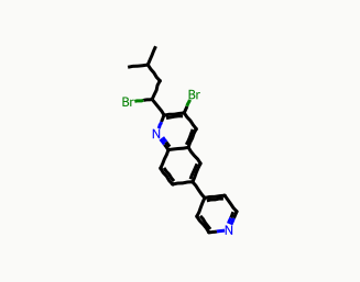 CC(C)CC(Br)c1nc2ccc(-c3ccncc3)cc2cc1Br